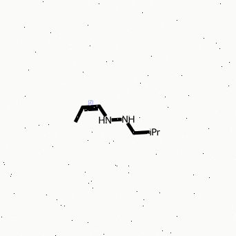 C/C=C\NNCC(C)C